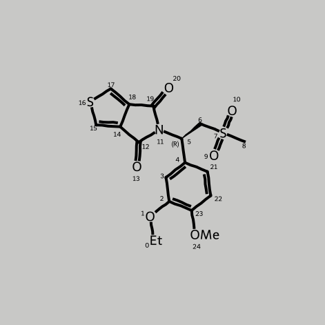 CCOc1cc([C@H](CS(C)(=O)=O)N2C(=O)c3cscc3C2=O)ccc1OC